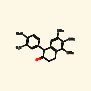 COc1ccc(C2C(=O)CCc3c2cc(OC)c(OC)c3OC)cc1[N+](=O)[O-]